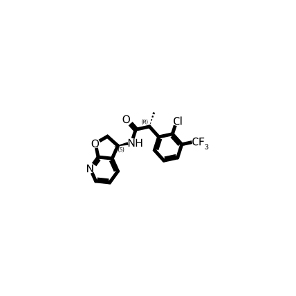 C[C@@H](C(=O)N[C@@H]1COc2ncccc21)c1cccc(C(F)(F)F)c1Cl